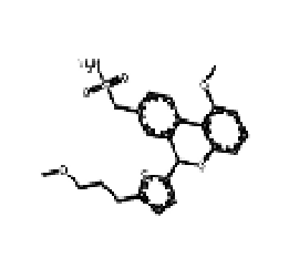 COCCCc1ccc(C2Oc3cccc(OC)c3-c3ccc(CS(N)(=O)=O)cc32)s1